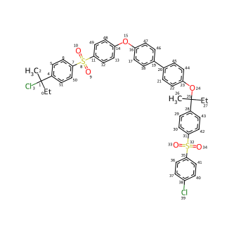 CCC(C)(Cl)c1ccc(S(=O)(=O)c2ccc(Oc3ccc(-c4ccc(OC(C)(CC)c5ccc(S(=O)(=O)c6ccc(Cl)cc6)cc5)cc4)cc3)cc2)cc1